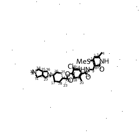 CSc1cc(C)[nH]c(=O)c1CNC(=O)c1cc(Cl)c2c(c1C)O[C@@](C)([C@H]1CC[C@@H](N3CC4CN(C)CC4C3)CC1)O2